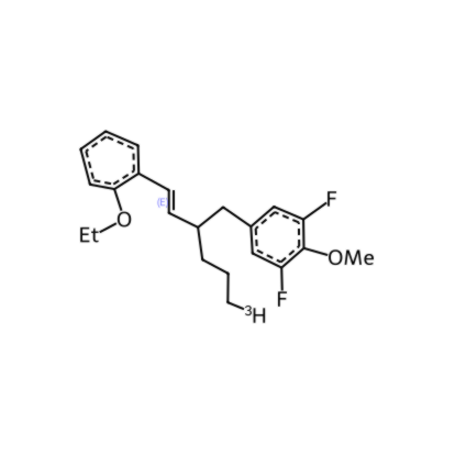 [3H]CCCC(/C=C/c1ccccc1OCC)Cc1cc(F)c(OC)c(F)c1